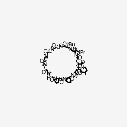 CC[C@H](C)C1NC(=O)C(CC(C)C)N(C)C(=O)CC(C(=O)N2CCCCC2)N(C)C(=O)C([C@@H](C)O)N(C)C(=O)C2(CCCC2)NC(=O)C2CCCN2C(=O)CNC(=O)CN(C)C(=O)CN(C)C(=O)CN(C)C(=O)CN(C)C1=O